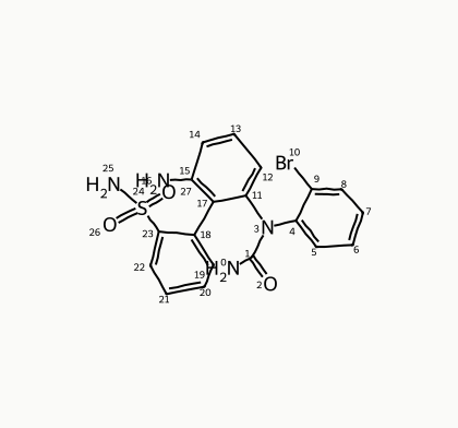 NC(=O)N(c1ccccc1Br)c1cccc(N)c1-c1ccccc1S(N)(=O)=O